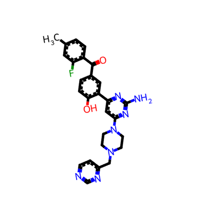 Cc1ccc(C(=O)c2ccc(O)c(-c3cc(N4CCN(Cc5ccncn5)CC4)nc(N)n3)c2)c(F)c1